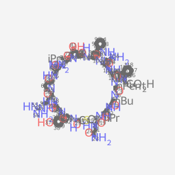 CCCCC[C@H]1C(=O)N(C)[C@@H](CCCC)C(=O)N[C@@H](CC(C)C)C(=O)N[C@H](C(=O)NCC(N)=O)CSCC(=O)N[C@@H](Cc2ccc(O)cc2)C(=O)N(C)[C@@H](C)C(=O)N[C@@H](CCCNC(=N)N)C(=O)N2CCCC2C(=O)N[C@@H](CN)C(=O)N[C@@H](CC(C)C)C(=O)N2CC(O)C[C@H]2C(=O)N[C@@H](Cc2c[nH]c3ccccc23)C(=O)N[C@@H](CCN)C(=O)N[C@@H](Cc2cn(CC(=O)O)c3ccccc23)C(=O)N1C